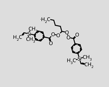 [CH2]CCC[C](OOC(=O)c1ccc([Si](C)(C)C=C)cc1)OOC(=O)c1ccc([Si](C)(C)C=C)cc1